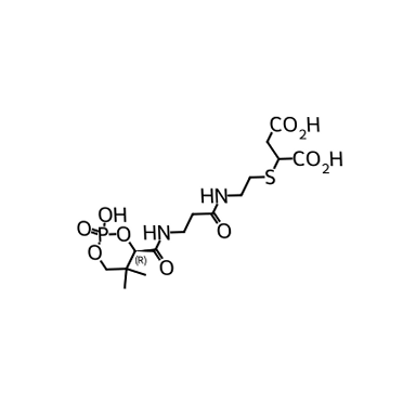 CC1(C)COP(=O)(O)O[C@H]1C(=O)NCCC(=O)NCCSC(CC(=O)O)C(=O)O